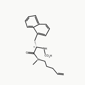 C=CCCCN(C)C(=O)[C@H](Cc1cccc2ccccc12)NC(=O)O